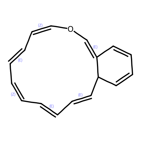 C1=C/C2=C/O\C=C/C=C/C=C\C=C\C=C\C2C=C1